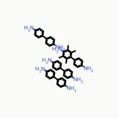 Cc1c(C)c(-c2ccc(N)cc2)c(C)c(C)c1N.Nc1ccc(-c2ccc(N)cc2)cc1.Nc1ccc(-c2ccc(N)cc2)cc1.Nc1ccc(-c2ccc(N)cc2)cc1